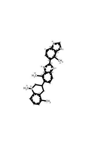 Cc1cccc2c1CC(c1ccc3sc(-c4ccc5ncsc5c4C)nc3c1C)CN2C